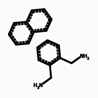 NCc1ccccc1CN.c1ccc2ccccc2c1